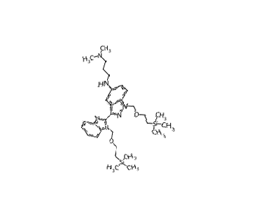 CN(C)CCCNc1ccc2c(c1)c(-c1nc3ccccc3n1COCC[Si](C)(C)C)nn2COCC[Si](C)(C)C